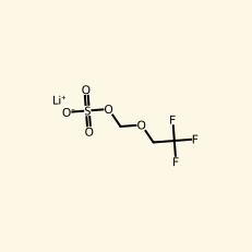 O=S(=O)([O-])OCOCC(F)(F)F.[Li+]